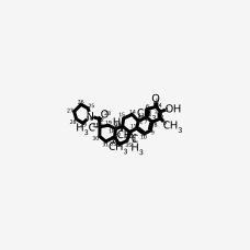 CC1=C(O)C(=O)C=C2C1=CC=C1[C@@]2(C)CC[C@@]2(C)[C@@H]3C[C@](C)(C(=O)N4CCCCC4)CC[C@]3(C)CC[C@]12C